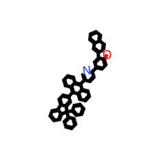 c1ccc(C2(c3ccccc3)c3ccccc3-c3ccc(-c4c5ccccc5c(-c5ccc(-c6ccc7oc8cc9ccccc9cc8c7c6)nc5)c5ccccc45)cc32)cc1